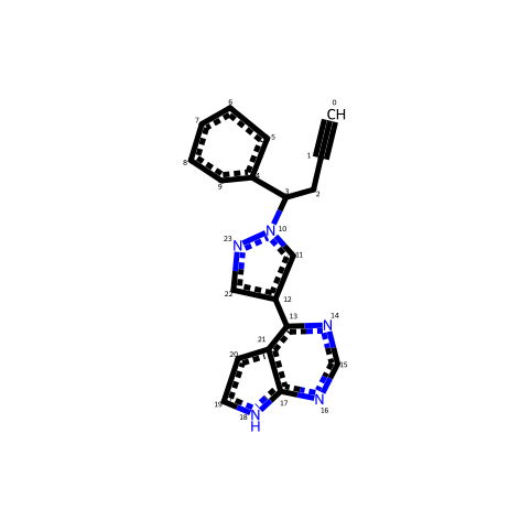 C#CCC(c1ccccc1)n1cc(-c2ncnc3[nH]ccc23)cn1